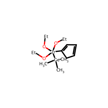 CC[O][Zr]([O]CC)([O]CC)([C]1=CC=CC1)[Ge]([CH3])([CH3])[CH3]